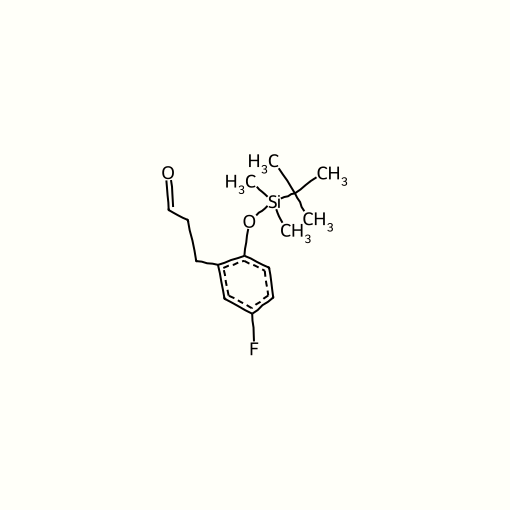 CC(C)(C)[Si](C)(C)Oc1ccc(F)cc1CCC=O